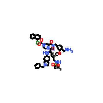 COc1cc(CNC(=O)[C@@H]2CN(C(=O)Oc3ccc4ccccc4c3Cl)CCN2C(=O)[C@@H](CCCCNS(C)(=O)=O)NC2CCC3(CC2)CCN(Cc2ccccc2)C3)ccc1CN